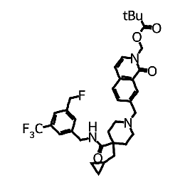 CC(C)(C)C(=O)OCn1ccc2ccc(CN3CCC(CC4CC4)(C(=O)NCc4cc(CF)cc(C(F)(F)F)c4)CC3)cc2c1=O